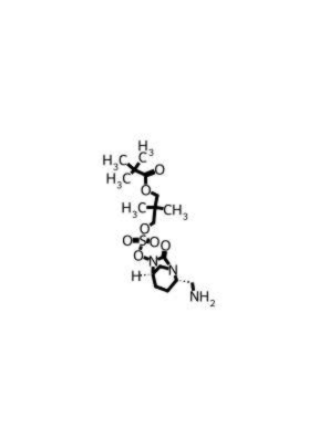 CC(C)(COC(=O)C(C)(C)C)COS(=O)(=O)ON1C(=O)N2C[C@H]1CC[C@H]2CN